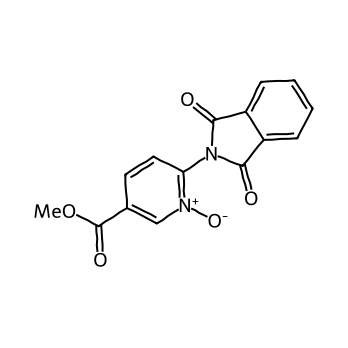 COC(=O)c1ccc(N2C(=O)c3ccccc3C2=O)[n+]([O-])c1